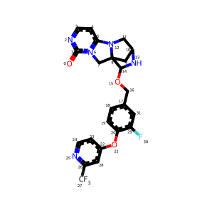 O=c1nccc2n1CC13CC(CN21)NC3OCc1ccc(Oc2ccnc(C(F)(F)F)c2)c(F)c1